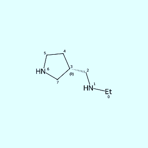 CCNC[C@H]1CCNC1